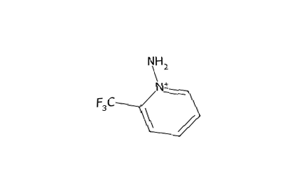 N[n+]1ccccc1C(F)(F)F